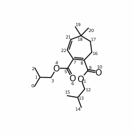 CC(C)COC(=O)C1=C(C(=O)OCC(C)C)CCC(C)(C)C=C1